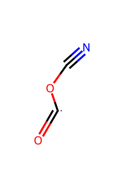 N#CO[C]=O